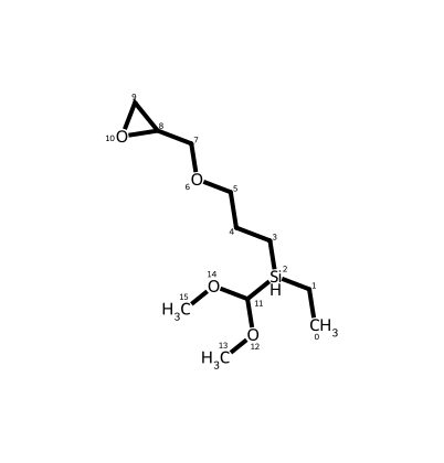 CC[SiH](CCCOCC1CO1)C(OC)OC